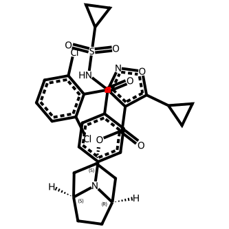 O=C(NS(=O)(=O)C1CC1)c1ccc(N2[C@@H]3CC[C@H]2C[C@H](OC(=O)c2c(-c4c(Cl)cccc4Cl)noc2C2CC2)C3)cc1